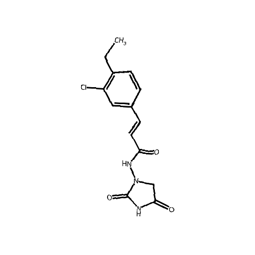 CCc1ccc(C=CC(=O)NN2CC(=O)NC2=O)cc1Cl